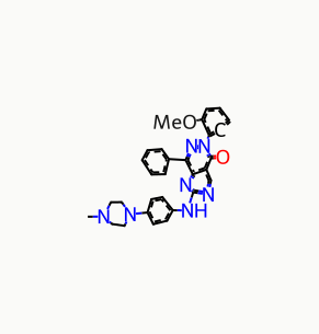 COc1ccccc1-n1nc(-c2ccccc2)c2nc(Nc3ccc(N4CCN(C)CC4)cc3)ncc2c1=O